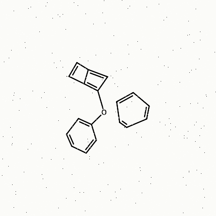 [c]1cc2cc(Oc3ccccc3)c1-2.[c]1ccccc1